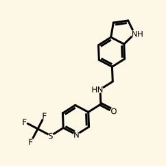 O=C(NCc1ccc2cc[nH]c2c1)c1ccc(SC(F)(F)F)nc1